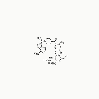 C=C(C)NC(CCC1OC(C(=O)N2CCN(C(=C)n3ccc4c(NC)ncnc43)CC2)C(C)CC1O)C(O)OC(CC)CO